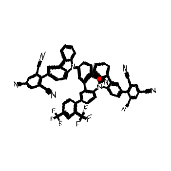 N#Cc1cc(C#N)c(-c2ccc3c(c2)c2ccccc2n3-c2ccc(C#N)c(-c3cc(-c4ccc(C(F)(F)F)cc4C(F)(F)F)ccc3-n3c4ccccc4c4cc(-c5c(C#N)cc(C#N)cc5C#N)ccc43)c2)c(C#N)c1